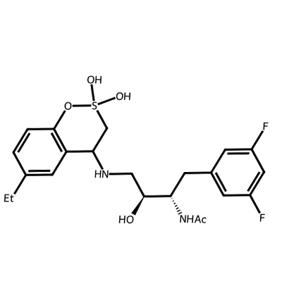 CCc1ccc2c(c1)C(NC[C@H](O)[C@H](Cc1cc(F)cc(F)c1)NC(C)=O)CS(O)(O)O2